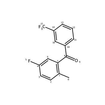 Cc1ccc(F)cc1C(=O)c1cccc(C(F)(F)F)c1